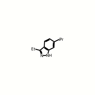 CCc1n[nH]c2cc(C(C)C)ccc12